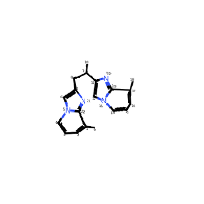 Cc1cccn2cc(CC(C)c3cn4cccc(C)c4n3)nc12